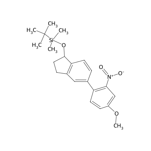 COc1ccc(-c2ccc3c(c2)CCC3O[Si](C)(C)C(C)(C)C)c([N+](=O)[O-])c1